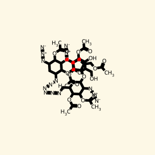 CC(=O)OCC1OC(OC2C(OC(C)=O)C(N=[N+]=[N-])CC(N=[N+]=[N-])C2OC2OC(CO)C(O)C(OC(C)=O)C2N=[N+]=[N-])C(OC(C)=O)C1OC1OC(CN=[N+]=[N-])C(OC(C)=O)C(OC(C)=O)C1N=[N+]=[N-]